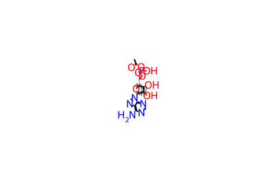 CC(=O)OP(=O)(O)OC[C@H]1O[C@@H](n2cnc3c(N)ncnc32)[C@H](O)[C@H]1O